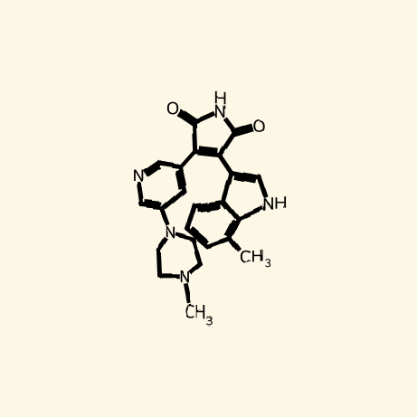 Cc1cccc2c(C3=C(c4cncc(N5CCN(C)CC5)c4)C(=O)NC3=O)c[nH]c12